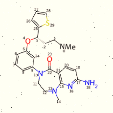 CNCC[C@H](Oc1cccc(N2CCN(C)c3nc(N)ccc3C2=O)c1)c1cccs1